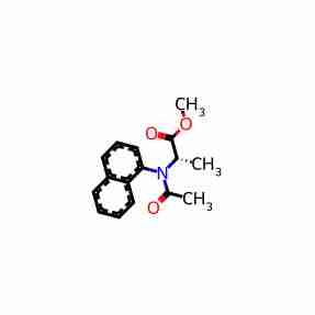 COC(=O)[C@H](C)N(C(C)=O)c1cccc2ccccc12